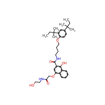 CCC(C)(C)c1ccc(OCCCCNC(=O)c2cc(OCC(=O)NCCO)c3ccccc3c2O)c(C(C)(C)CC)c1